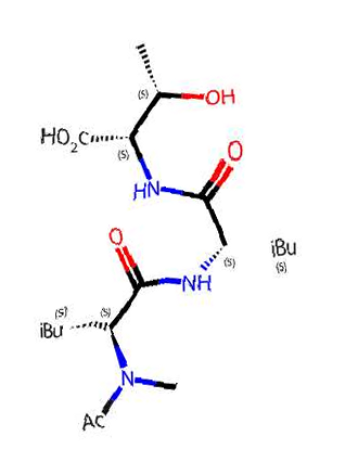 CC[C@H](C)[C@H](NC(=O)[C@H]([C@@H](C)CC)N(C)C(C)=O)C(=O)N[C@H](C(=O)O)[C@H](C)O